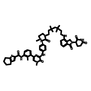 Cc1c(NC(=O)c2cc3c(s2)CCCC3)cccc1-c1cn(C)c(=O)c(Nc2ccc([C@@H]3C(=O)N(CCC(C)(C)CC(C)(C)CCNc4cccc5c4CN(C4CCC(=O)NC4=O)C5=O)CCN3C)cc2)n1